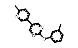 Cc1cccc(Oc2ncc(-c3ccc(C)nc3)cn2)c1